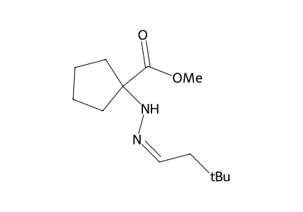 COC(=O)C1(N/N=C\CC(C)(C)C)CCCC1